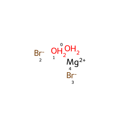 O.O.[Br-].[Br-].[Mg+2]